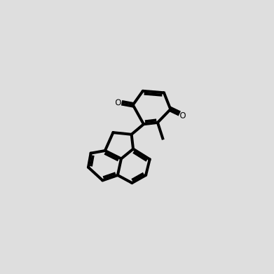 CC1=C(C2Cc3cccc4cccc2c34)C(=O)C=CC1=O